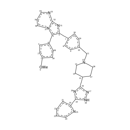 COc1ccc(-c2c(-c3ccc(CN4CCC(c5n[nH]c(-c6ccccn6)n5)CC4)cc3)nc3ncccn23)cc1